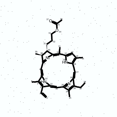 C=Cc1c(C)c2cc3nc(c(C)c4cc(C)c(cc5nc(cc1[nH]2)C(C)=C5CC)[nH]4)[C@@H](CCCOC(C)=O)[C@@H]3C